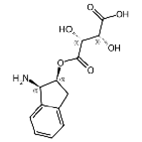 N[C@@H]1c2ccccc2C[C@@H]1OC(=O)[C@H](O)[C@@H](O)C(=O)O